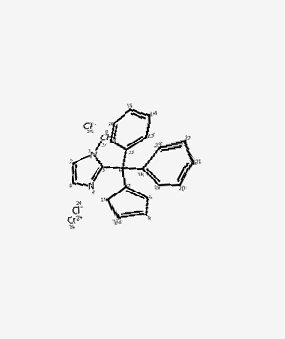 Cn1ccnc1C(C1=CC=CC1)(c1ccccc1)c1ccccc1.[Cl-].[Cl-].[Cr+2]